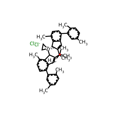 Cc1ccc(C)c(-c2ccc(C)c3c2C=C(C(C)C)[CH]3[Zr+2]2([CH]3C(C(C)C)=Cc4c(-c5cc(C)ccc5C)ccc(C)c43)[CH2][CH2]2)c1.[Cl-].[Cl-]